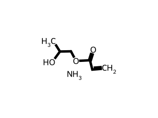 C=CC(=O)OCC(C)O.N